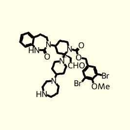 COc1c(Br)cc(COC(=O)N2CCC(N3CCc4ccccc4NC3=O)C[C@@]2(CC=O)N2CCC(N3CCCNCC3)CC2)cc1Br